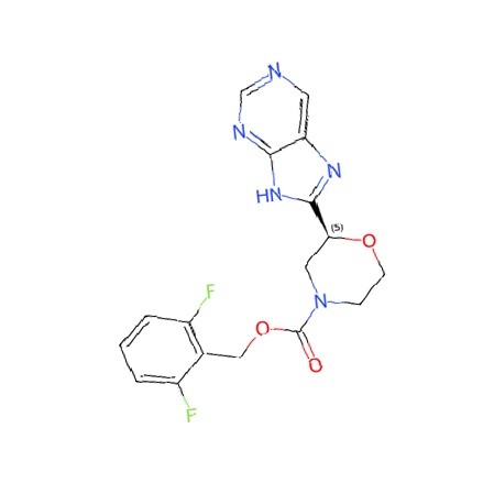 O=C(OCc1c(F)cccc1F)N1CCO[C@H](c2nc3cncnc3[nH]2)C1